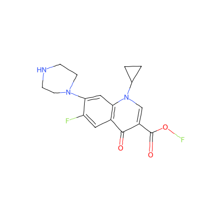 O=C(OF)c1cn(C2CC2)c2cc(N3CCNCC3)c(F)cc2c1=O